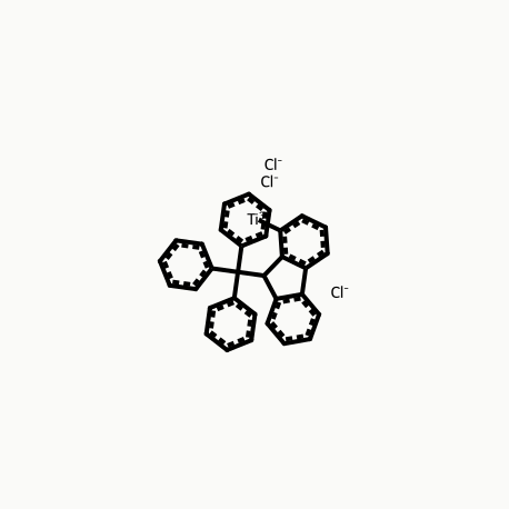 [Cl-].[Cl-].[Cl-].[Ti+3][c]1cccc2c1C(C(c1ccccc1)(c1ccccc1)c1ccccc1)c1ccccc1-2